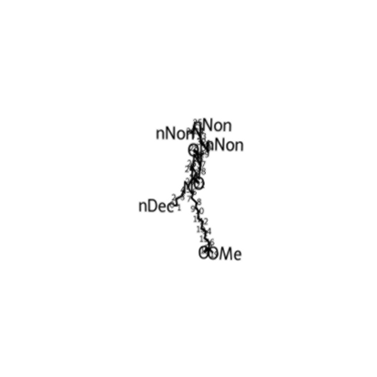 CCCCCCCCCCCCCCN(CCCCCCCCCCCC(=O)OC)CC(=O)N1CCN(C(=O)CN(CCCCCCCCC)CCN(CCCCCCCCC)CCCCCCCCC)CC1